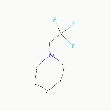 FC(F)(F)CN1CC[CH]CC1